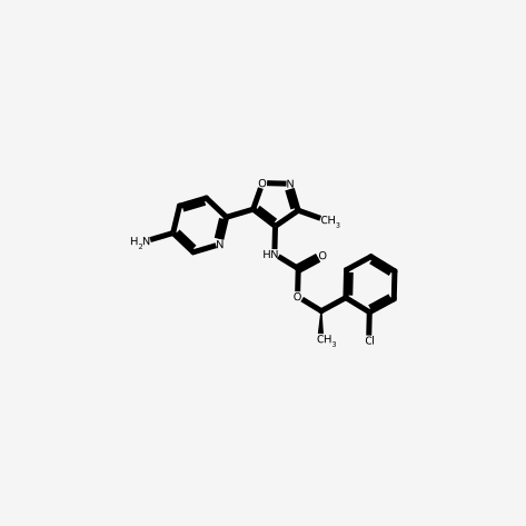 Cc1noc(-c2ccc(N)cn2)c1NC(=O)O[C@H](C)c1ccccc1Cl